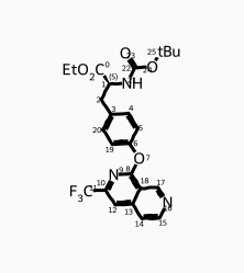 CCOC(=O)[C@H](Cc1ccc(Oc2nc(C(F)(F)F)cc3ccncc23)cc1)NC(=O)OC(C)(C)C